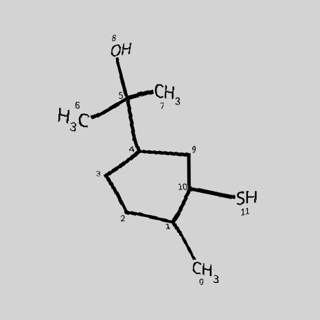 CC1CCC(C(C)(C)O)CC1S